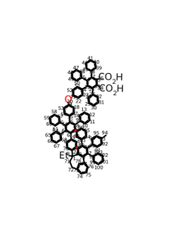 CCC1(c2ccc(-c3cc(-c4ccccc4)c(-c4ccc(Oc5ccc(-c6c(-c7ccccc7)c(C(=O)O)c(C(=O)O)c(-c7ccccc7)c6-c6ccccc6)cc5)cc4)c(-c4ccccc4)c3-c3ccccc3)cc2)CCc2cccc(c2)-c2c1cc(-c1ccccc1)c(-c1ccc(C)cc1)c2-c1ccccc1